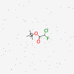 C[Si](C)(C)OC(=O)C(F)Cl